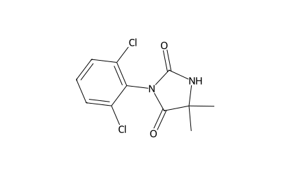 CC1(C)NC(=O)N(c2c(Cl)cccc2Cl)C1=O